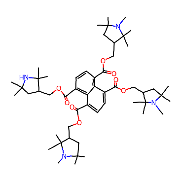 CN1C(C)(C)CC(COC(=O)c2ccc(C(=O)OCC3CC(C)(C)N(C)C3(C)C)c3c(C(=O)OCC4CC(C)(C)N(C)C4(C)C)ccc(C(=O)OCC4CC(C)(C)NC4(C)C)c23)C1(C)C